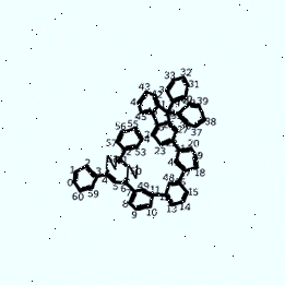 c1ccc(-c2cc(-c3cccc(-c4cccc(-c5cccc(-c6ccc7c(c6)C(c6ccccc6)(c6ccccc6)c6ccccc6-7)c5)c4)c3)nc(-c3ccccc3)n2)cc1